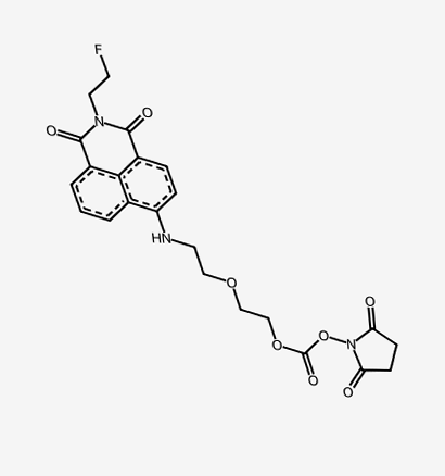 O=C(OCCOCCNc1ccc2c3c(cccc13)C(=O)N(CCF)C2=O)ON1C(=O)CCC1=O